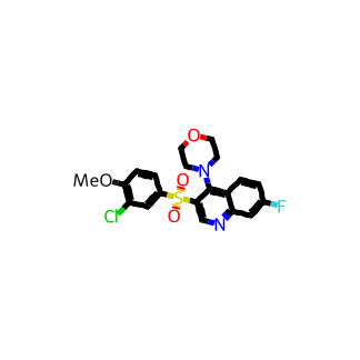 COc1ccc(S(=O)(=O)c2cnc3cc(F)ccc3c2N2CCOCC2)cc1Cl